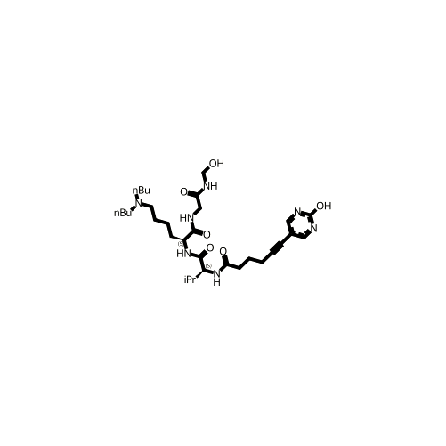 CCCCN(CCCC)CCCC[C@H](NC(=O)[C@@H](NC(=O)CCCC#Cc1cnc(O)nc1)C(C)C)C(=O)NCC(=O)NCO